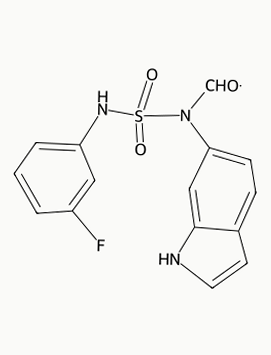 O=[C]N(c1ccc2cc[nH]c2c1)S(=O)(=O)Nc1cccc(F)c1